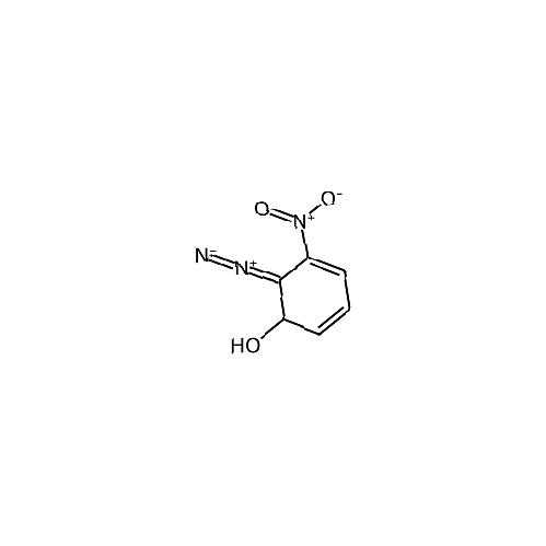 [N-]=[N+]=C1C([N+](=O)[O-])=CC=CC1O